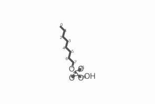 CCCCCCCCOS(=O)(=O)OO